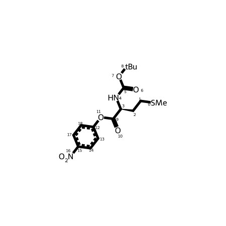 CSCC[C@H](NC(=O)OC(C)(C)C)C(=O)Oc1ccc([N+](=O)[O-])cc1